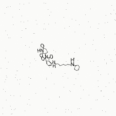 O=C1CCC(N2C(=O)c3cccc(NCCCCCCCNC4CCCCC4)c3C2=O)C(=O)N1